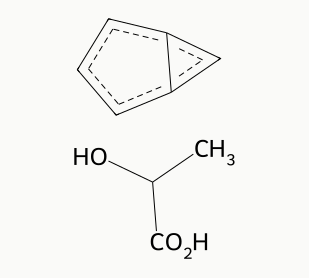 CC(O)C(=O)O.c1cc2cc-2c1